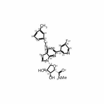 CNC(=O)[C@H]1O[C@@H](n2cnc3c(NCc4cc(C)ccn4)nc(-c4cncc(F)c4)nc32)[C@H](O)[C@@H]1O